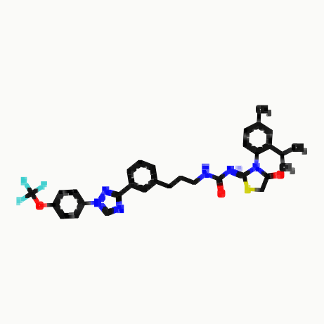 Cc1ccc(N2C(=O)CS/C2=N\C(=O)NCCCc2cccc(-c3ncn(-c4ccc(OC(F)(F)F)cc4)n3)c2)c(C(C)C)c1